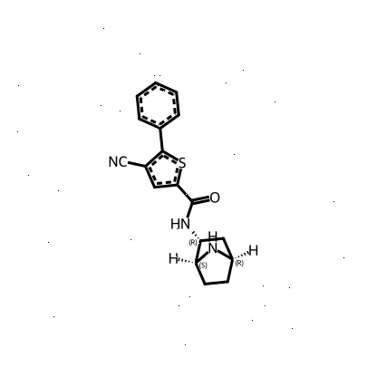 N#Cc1cc(C(=O)N[C@@H]2C[C@H]3CC[C@@H]2N3)sc1-c1ccccc1